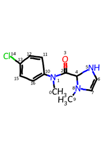 CN(C(=O)C1NC=CN1C)c1ccc(Cl)cc1